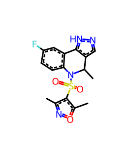 Cc1noc(C)c1S(=O)(=O)N1c2ccc(F)cc2-c2[nH]ncc2C1C